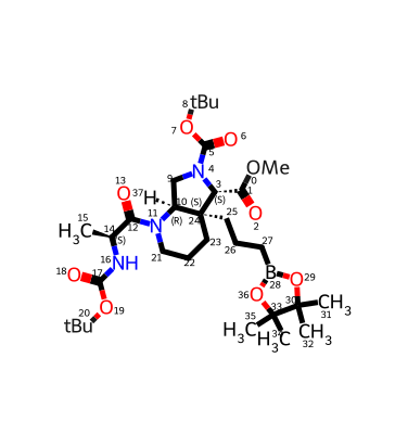 COC(=O)[C@H]1N(C(=O)OC(C)(C)C)C[C@@H]2N(C(=O)[C@H](C)NC(=O)OC(C)(C)C)CCC[C@@]21CCCB1OC(C)(C)C(C)(C)O1